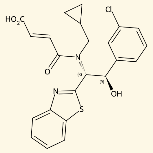 O=C(O)C=CC(=O)N(CC1CC1)[C@@H](c1nc2ccccc2s1)[C@H](O)c1cccc(Cl)c1